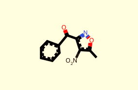 Cc1onc(C(=O)c2ccccc2)c1[N+](=O)[O-]